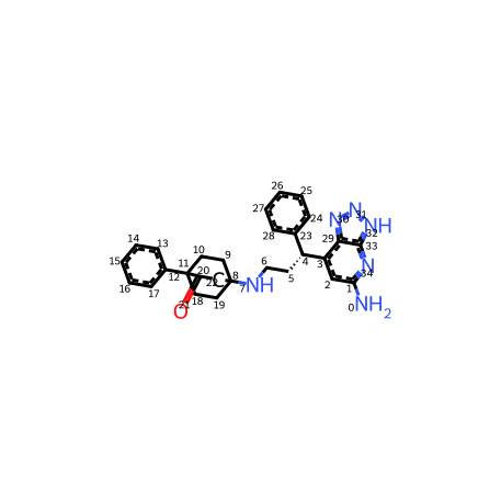 Nc1cc([C@H](CCNC23CCC(c4ccccc4)(CC2)C(=O)C3)c2ccccc2)c2nn[nH]c2n1